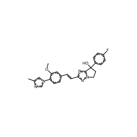 COc1cc(/C=C/c2nc3n(n2)CCC3(O)c2ccc(F)cc2)ccc1-n1cnc(C)c1